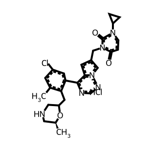 Cc1cc(Cl)cc(-c2ncnn3cc(Cn4c(=O)ccn(C5CC5)c4=O)cc23)c1CC1CNC[C@H](C)O1.Cl